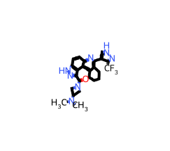 CN(C)C1CN(C(=O)c2n[nH]c3ccc4nc(-c5c[nH]nc5C(F)(F)F)c5c(c4c23)CCCC5)C1